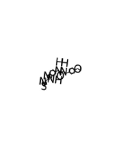 COc1ccc(CNC(=O)Nc2ccc3nc(-c4cscn4)[nH]c3c2)cc1